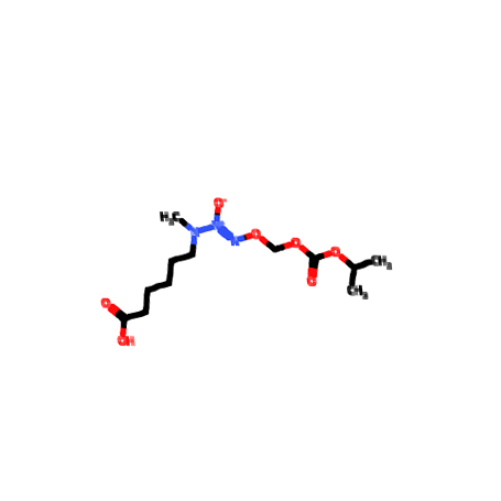 CC(C)OC(=O)OCO/N=[N+](\[O-])N(C)CCCCCC(=O)O